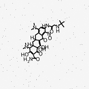 CN(C)c1cc(NC(=O)CNC(C)(C)C)c(N=O)c2c1C[C@H]1C[C@H]3C(N(C)C)C(O)=C(C(N)=O)C(=O)[C@@]3(O)C(O)=C1C2=O